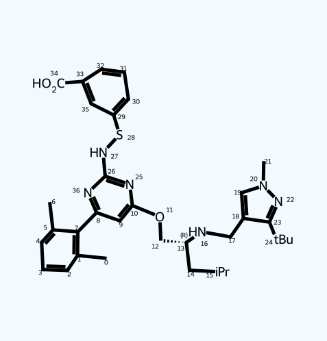 Cc1cccc(C)c1-c1cc(OC[C@@H](CC(C)C)NCc2cn(C)nc2C(C)(C)C)nc(NSc2cccc(C(=O)O)c2)n1